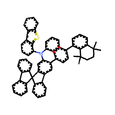 CC1(C)CCC(C)(C)c2c(-c3ccc(-c4cc5c(cc4N(c4ccccc4)c4cccc6c4sc4ccccc46)C4(c6ccccc6-c6ccccc64)c4ccccc4-5)cc3)cccc21